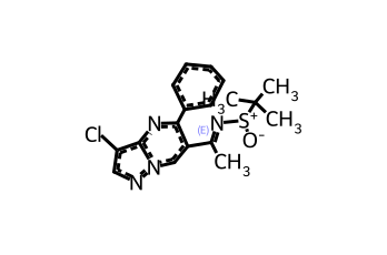 C/C(=N\[S+]([O-])C(C)(C)C)c1cn2ncc(Cl)c2nc1-c1ccccc1